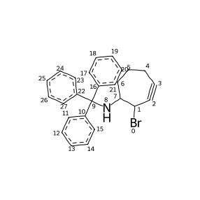 BrC1C#CCCCC1NC(c1ccccc1)(c1ccccc1)c1ccccc1